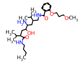 CCCCNC(=O)C(CC(O)C(N)CC(CNC(=O)c1ccccc1OCCCOC)C(C)C)C(C)C